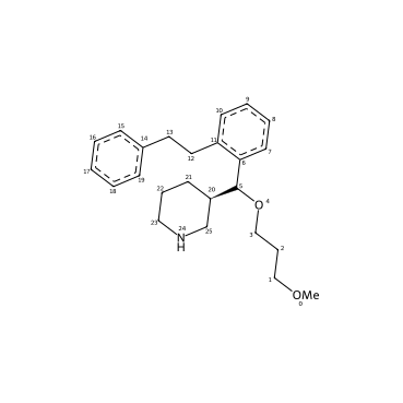 COCCCOC(c1ccccc1CCc1ccccc1)[C@@H]1CCCNC1